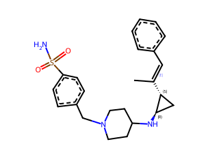 C/C(=C\c1ccccc1)[C@@H]1C[C@H]1NC1CCN(Cc2ccc(S(N)(=O)=O)cc2)CC1